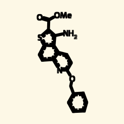 COC(=O)c1sc2ccc3nc(OCc4ccccc4)ccc3c2c1N